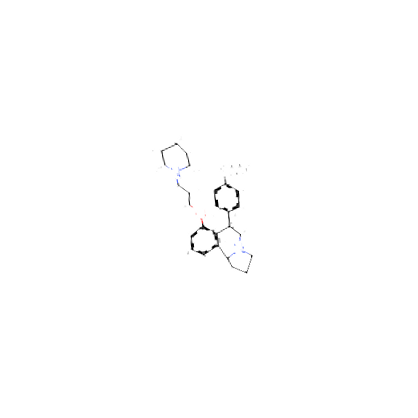 CSc1ccc(C2CN3CCCC3c3cccc(OCCCN4CCCCC4)c32)cc1